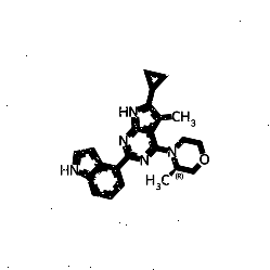 Cc1c(C2CC2)[nH]c2nc(-c3cccc4[nH]ccc34)nc(N3CCOC[C@H]3C)c12